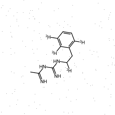 [2H]c1ccc([2H])c(CC([2H])NC(=N)NC(C)=N)c1[2H]